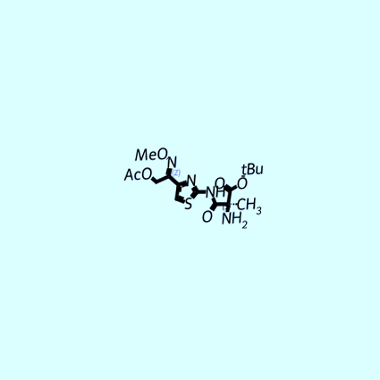 CO/N=C(\COC(C)=O)c1csc(NC(=O)[C@](C)(N)C(=O)OC(C)(C)C)n1